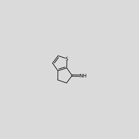 N=C1CCc2ccsc21